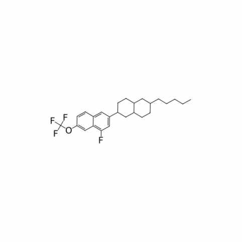 CCCCCC1CCC2CC(c3cc(F)c4cc(OC(F)(F)F)ccc4c3)CCC2C1